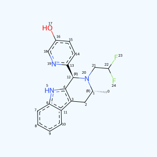 C[C@@H]1Cc2c([nH]c3ccccc23)[C@@H](c2ccc(O)cn2)N1CC(F)F